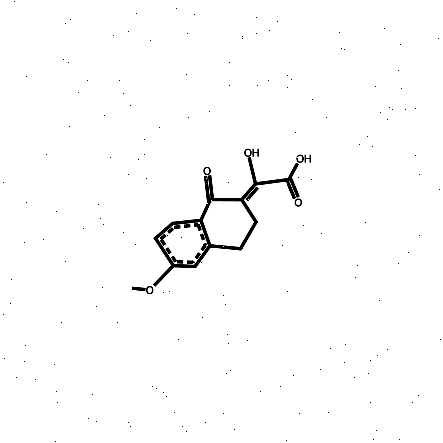 COc1ccc2c(c1)CC/C(=C(/O)C(=O)O)C2=O